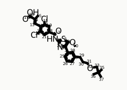 COc1sc(NC(=O)c2cc(Cl)c(C=C(C)C(=O)O)c(Cl)c2)nc1-c1cccc(CCCOCC(C)(C)C)c1